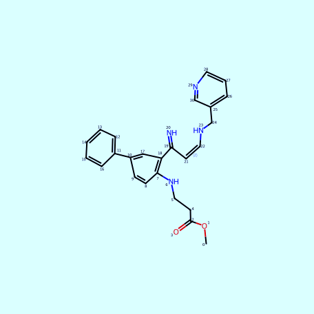 COC(=O)CCNc1ccc(-c2ccccc2)cc1C(=N)/C=C\NCc1cccnc1